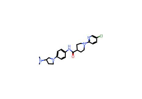 CN(C)C1CCN(c2ccc(NC(=O)C3CCN(c4ccc(Cl)cn4)CC3)cc2)C1